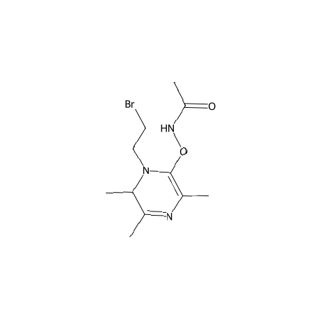 CC(=O)NOC1=C(C)N=C(C)C(C)N1CCBr